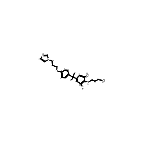 CC(C)(c1ccc(OCCCn2ccnc2)cc1)c1cc(Cl)c(OCCCCl)c(Cl)c1